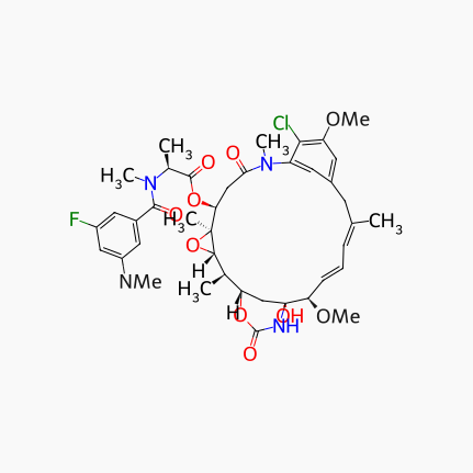 CNc1cc(F)cc(C(=O)N(C)[C@@H](C)C(=O)O[C@H]2CC(=O)N(C)c3cc(cc(OC)c3Cl)C/C(C)=C/C=C/[C@@H](OC)[C@@]3(O)C[C@H](OC(=O)N3)[C@@H](C)[C@@H]3O[C@@]23C)c1